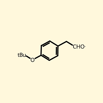 CC(C)(C)Oc1ccc(C[C]=O)cc1